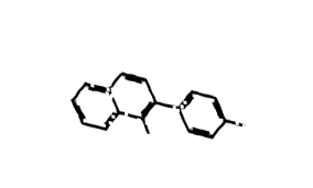 Sc1c(-c2ccc(Cl)cc2)ccc2ccccc12